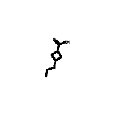 CCO[C@H]1C[C@@H](C(=O)O)C1